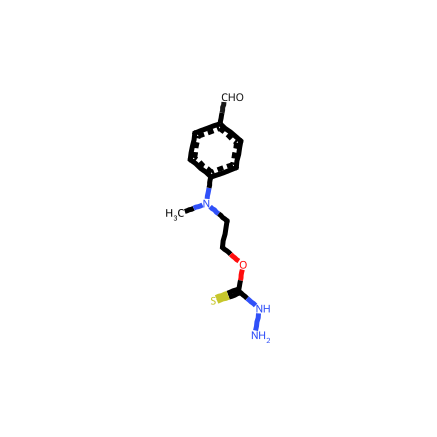 CN(CCOC(=S)NN)c1ccc(C=O)cc1